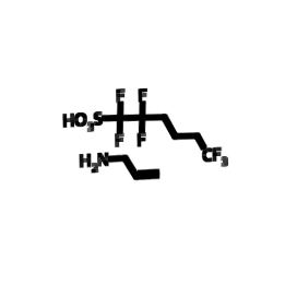 C=CCN.O=S(=O)(O)C(F)(F)C(F)(F)CCCC(F)(F)F